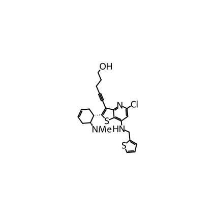 CN[C@H]1CC=CC[C@@H]1c1sc2c(NCc3cccs3)cc(Cl)nc2c1C#CCCCO